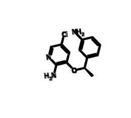 C[C@@H](Oc1cc(Cl)cnc1N)c1cccc(N)c1